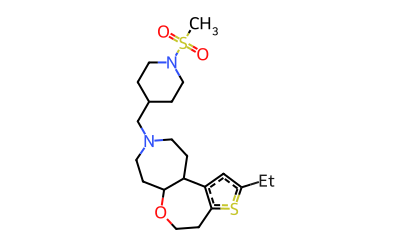 CCc1cc2c(s1)CCOC1CCN(CC3CCN(S(C)(=O)=O)CC3)CCC21